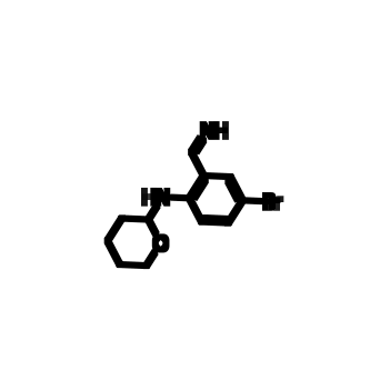 N=Cc1cc(Br)ccc1NC1CCCCO1